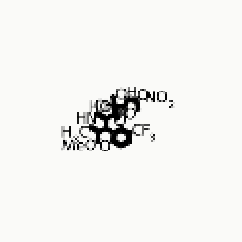 COC(=O)C1=C(C)NC(C)=C(C(=O)[C@@]2(O)CO[C@@H]3[C@@H](O[N+](=O)[O-])CO[C@@H]32)C1c1cccc(C(F)(F)F)c1